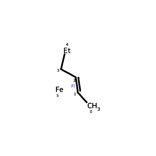 C/C=C/CCC.[Fe]